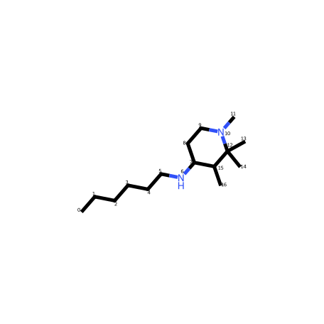 CCCCCCNC1CCN(C)C(C)(C)C1C